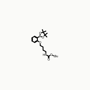 CC(C)(C)OC(=O)NCCCCOc1ccccc1B1OC(C)(C)C(C)(C)O1